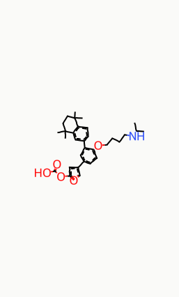 CC(C)NCCCCOc1ccc(-c2coc(OC(=O)O)c2)cc1-c1ccc2c(c1)C(C)(C)CCC2(C)C